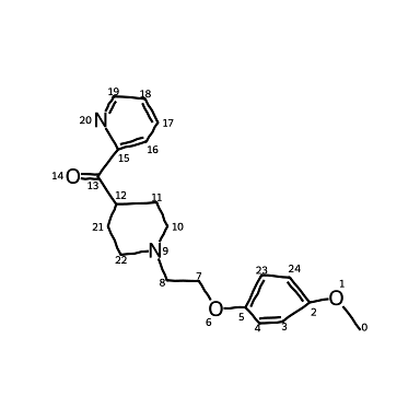 COc1ccc(OCCN2CCC(C(=O)c3ccccn3)CC2)cc1